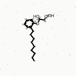 CCCCCCCCCc1ccccc1OC(O)COO